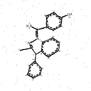 CC(=NN=C(N)c1ccc(O)cc1)C(c1ccccc1)c1ccccc1